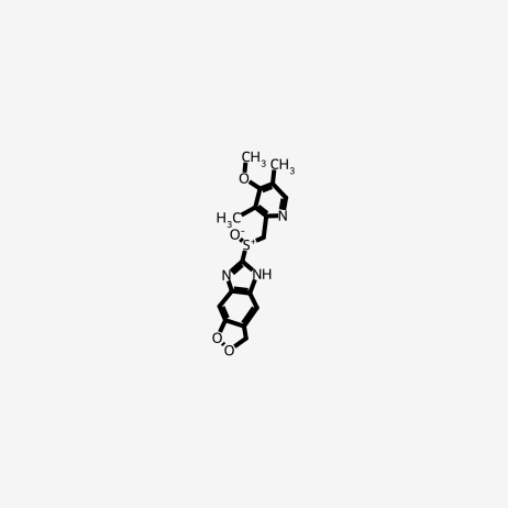 COc1c(C)cnc(C[S+]([O-])c2nc3cc4c(cc3[nH]2)COO4)c1C